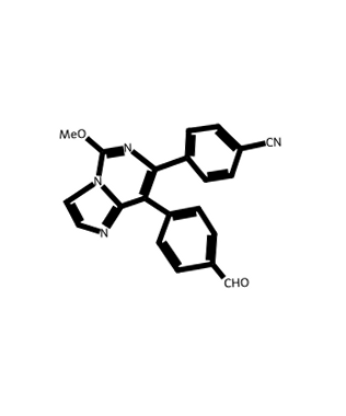 COc1nc(-c2ccc(C#N)cc2)c(-c2ccc(C=O)cc2)c2nccn12